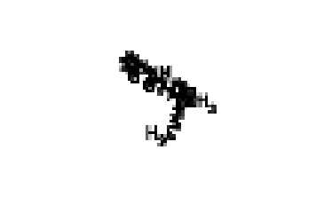 CCCCCOc1cc(C=CC(=O)NCCc2cccc[n+]2[O-])ccc1OC